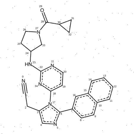 N#CCc1cnc(-c2ccc3ccccc3c2)n1-c1ccnc(NC2CCN(C(=O)C3CC3)C2)n1